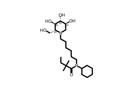 CCC(C)(C)C(=O)N(CCCCCCN1C[C@H](O)[C@@H](O)[C@H](O)[C@H]1CO)C1CCCCC1